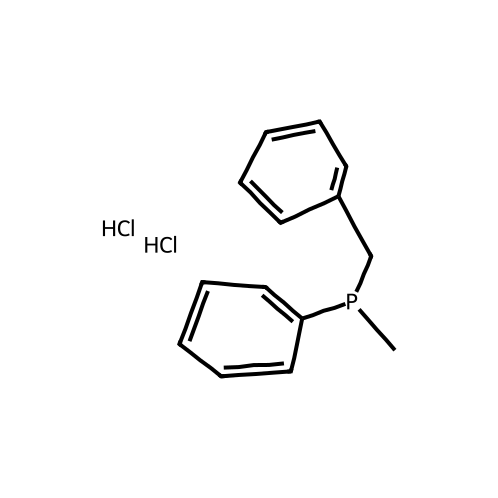 CP(Cc1ccccc1)c1ccccc1.Cl.Cl